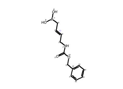 O=C(NC/C=C/CB(O)O)OCc1ccccc1